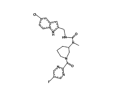 CN(C(=O)NCc1cc2cc(Cl)ccc2[nH]1)C1CCCN(C(=O)c2ncc(F)cn2)C1